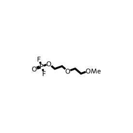 COCCOCCOP(=O)(F)F